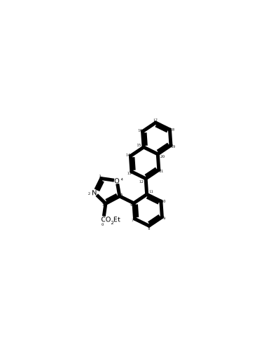 CCOC(=O)c1ncoc1-c1ccccc1-c1ccc2ccccc2c1